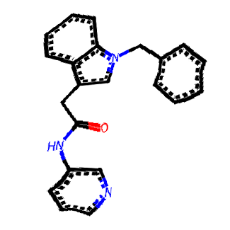 O=C(Cc1cn(Cc2ccccc2)c2ccccc12)Nc1cccnc1